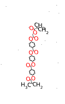 C=C(C)C(=O)OCC(=O)Oc1ccc(C(=O)Oc2ccc(OC(=O)c3ccc(OC(=O)C(=C)C)cc3)cc2)cc1